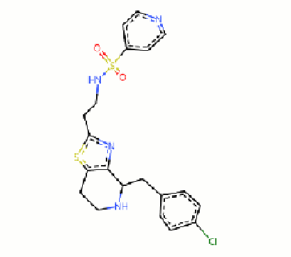 O=S(=O)(NCCc1nc2c(s1)CCNC2Cc1ccc(Cl)cc1)c1ccncc1